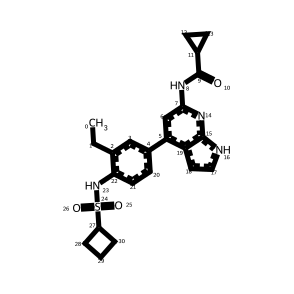 CCc1cc(-c2cc(NC(=O)C3CC3)nc3[nH]ccc23)ccc1NS(=O)(=O)C1CCC1